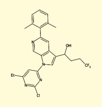 CCc1cc(-n2cc(C(O)CCC(F)(F)F)c3cc(-c4c(C)cccc4C)ncc32)nc(Cl)n1